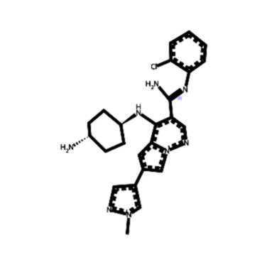 Cn1cc(-c2cc3c(N[C@H]4CC[C@H](N)CC4)c(/C(N)=N/c4ccccc4Cl)cnn3c2)cn1